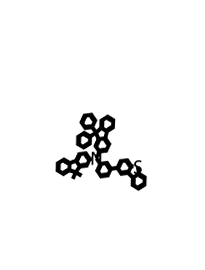 CC1(C)c2ccccc2-c2ccc(N(c3cccc(-c4ccc5sc6ccccc6c5c4)c3)c3ccc4c(c3)C(c3ccccc3)(c3ccccc3)c3ccccc3-4)cc21